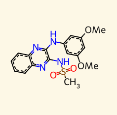 COc1cc(Nc2nc3ccccc3nc2NS(C)(=O)=O)cc(OC)c1